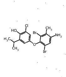 Cc1c(N)cc(Br)c(Oc2cc(Cl)c(O)c(C(C)C)c2)c1Br